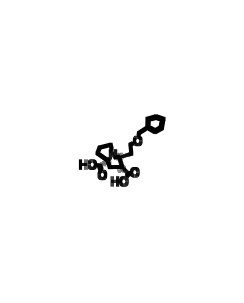 O=C(O)[C@H]1C[C@@]2(C(=O)O)CCCN2[C@H]1CCOCc1ccccc1